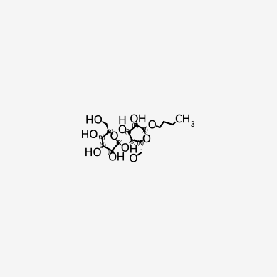 CCCCO[C@@H]1O[C@H](CO)[C@@H](O[C@H]2O[C@H](CO)[C@@H](O)[C@H](O)[C@H]2O)[C@H](O)[C@H]1O